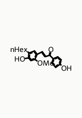 CCCCCCc1cc(C=CC(=O)c2ccc(O)cc2)c(OC)cc1O